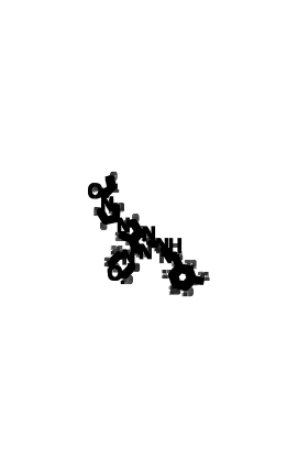 C=CC(=O)N1CC[C@H](N2Cc3nc(N/N=C/c4cccc(C)c4)nc(N4CCOCC4)c3C2)C1